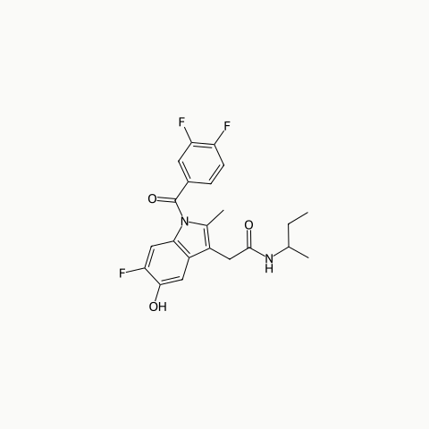 CCC(C)NC(=O)Cc1c(C)n(C(=O)c2ccc(F)c(F)c2)c2cc(F)c(O)cc12